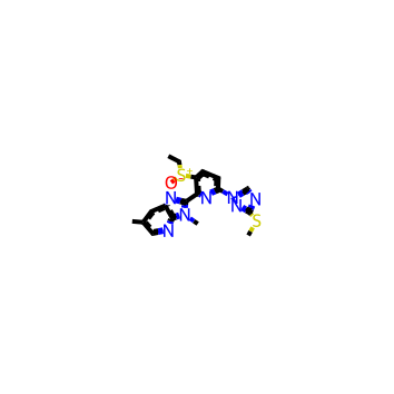 CC[S+]([O-])c1ccc(-n2cnc(SC)n2)nc1-c1nc2cc(C)cnc2n1C